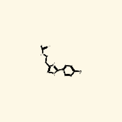 CC(=O)OCCc1csc(-c2ccc(Cl)cc2)n1